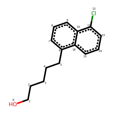 OCCCCCc1cccc2c(Cl)cccc12